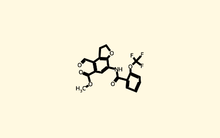 COC(=O)c1cc(NC(=O)c2ccccc2OC(F)(F)F)c2c(c1C=O)CCO2